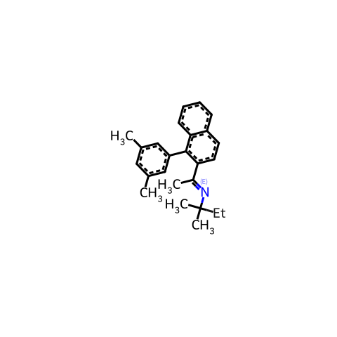 CCC(C)(C)/N=C(\C)c1ccc2ccccc2c1-c1cc(C)cc(C)c1